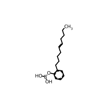 CCCCC=CCCCCc1ccccc1OB(O)O